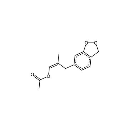 CC(=O)O/C=C(/C)Cc1ccc2c(c1)OOC2